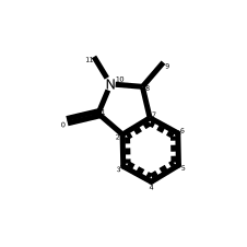 C=C1c2ccccc2C(C)N1C